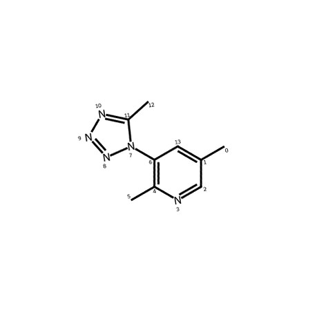 Cc1cnc(C)c(-n2nnnc2C)c1